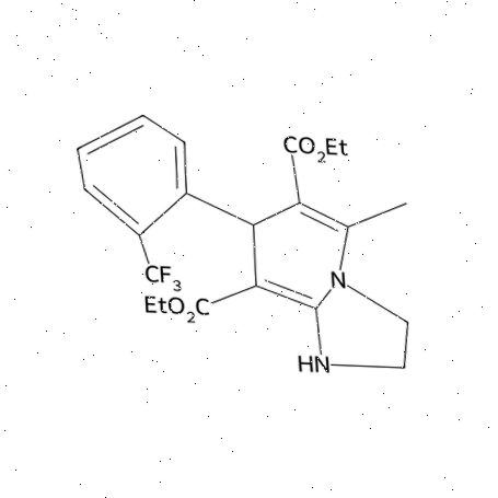 CCOC(=O)C1=C(C)N2CCNC2=C(C(=O)OCC)C1c1ccccc1C(F)(F)F